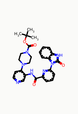 CC(C)(C)OC(=O)N1CCN(c2ccncc2NC(=O)c2cccc(-n3c(=O)[nH]c4ccccc43)n2)CC1